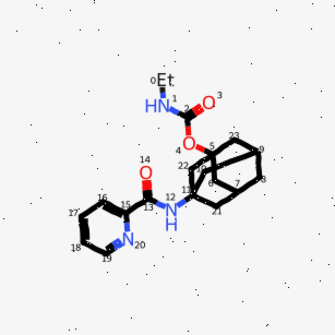 CCNC(=O)OC12CC3CC(CC(NC(=O)c4ccccn4)(C3)C1)C2